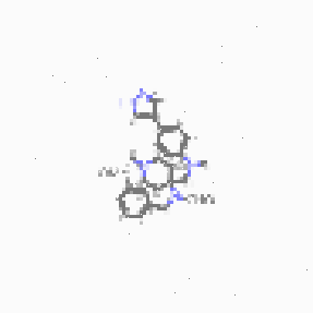 COc1cccc(CN(C=O)C2(CN(C)c3ccc(-c4cn[nH]c4)cc3)CCN(C)CC2)c1